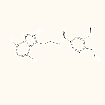 COc1ccc(C(=O)NCCc2c(C)[nH]c3c(F)ccc(Cl)c23)cc1OC